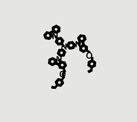 C=Cc1ccc(COCc2ccc3c(c2)c2ccccc2n3-c2ccc(N(c3ccc(-n4c5ccccc5c5ccccc54)cc3)c3ccc(-n4c5ccccc5c5cc(COCc6ccc(C=C)cc6)ccc54)cc3)cc2)cc1